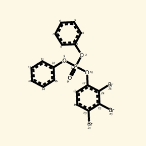 O=P(Oc1ccccc1)(Oc1ccccc1)Oc1ccc(Br)c(Br)c1Br